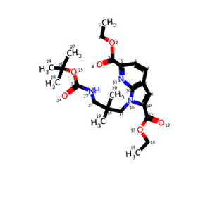 CCOC(=O)c1ccc2cc(C(=O)OCC)n(CC(C)(C)CNC(=O)OC(C)(C)C)c2n1